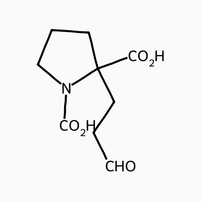 O=CCCC1(C(=O)O)CCCN1C(=O)O